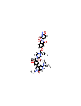 COc1cc(-c2cn(C)c(=O)c3cnc(N(C)C)cc23)cc(OC)c1CN1CCN([C@H](C)COc2ccc3c(c2)C(=O)N(C2CCC(=O)NC2=O)C3=O)CC1